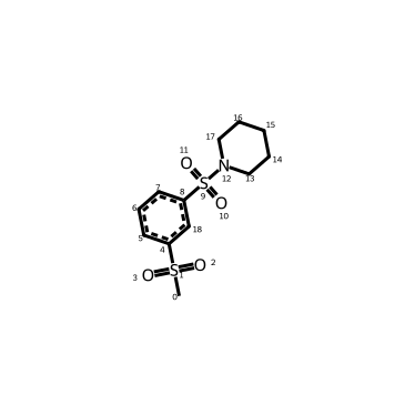 CS(=O)(=O)c1cccc(S(=O)(=O)N2CCCCC2)c1